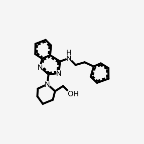 OCC1CCCCN1c1nc(NCCc2ccccc2)c2ccccc2n1